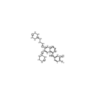 Fc1ccc(Nc2ncnc3cc(OCCCN4CCOCC4)c(OC4CCCOC4)cc23)cc1Cl